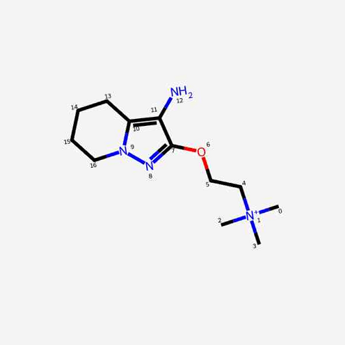 C[N+](C)(C)CCOc1nn2c(c1N)CCCC2